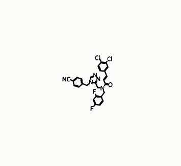 N#Cc1ccc(Cn2cnnc2CN(Cc2ccc(F)cc2F)C(=O)/C=C/c2ccc(Cl)c(Cl)c2)cc1